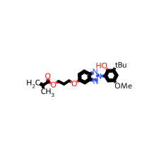 C=C(C)C(=O)OCCCOc1ccc2nn(-c3cc(OC)cc(C(C)(C)C)c3O)nc2c1